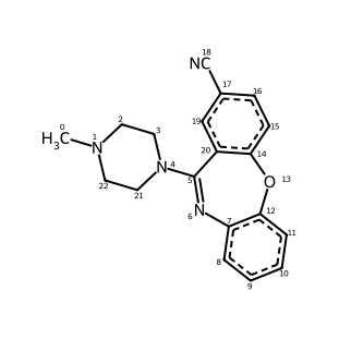 CN1CCN(C2=Nc3ccccc3Oc3ccc(C#N)cc32)CC1